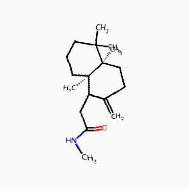 C=C1CC[C@]2(C)C(C)(C)CCC[C@]2(C)C1CC(=O)NC